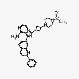 C[S+]([O-])N1CCN(C2CC(c3nc(-c4ccc5ccc(-c6ccccc6)nc5c4)c4c(N)nccn34)C2)CC1